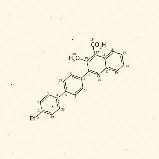 CCc1ccc(-c2ccc(-c3nc4ccccc4c(C(=O)O)c3C)cc2)cc1